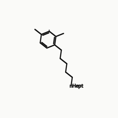 CCCCCCCCCCCCc1ccc(C)[c]c1C